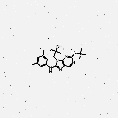 Cc1cc(C)cc(Nc2nc3cnc(NC(C)(C)C)nc3n2CC(C)(C)N)c1